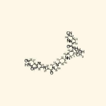 CC(C)(O)c1cc2nn([C@H]3CC[C@H](N4CCN(C(=O)C5CN(c6cnc(C7CCC(=O)NC7=O)c(F)c6)C5)CC4)CC3)cc2cc1NC(=O)c1ccc2cc(C#N)cnn12